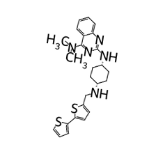 CN(C)c1nc(N[C@H]2CC[C@@H](NCc3ccc(-c4cccs4)s3)CC2)nc2ccccc12